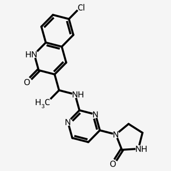 CC(Nc1nccc(N2CCNC2=O)n1)c1cc2cc(Cl)ccc2[nH]c1=O